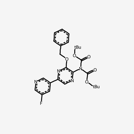 CC(C)(C)OC(=O)N(C(=O)OC(C)(C)C)c1ncc(-c2cncc(F)c2)nc1OCc1ccccc1